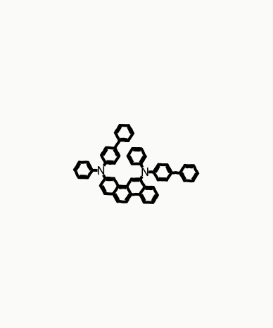 c1ccc(-c2ccc(N(c3ccccc3)c3ccc4ccc5c6ccccc6c(N(c6ccccc6)c6ccc(-c7ccccc7)cc6)cc5c4c3)cc2)cc1